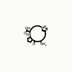 NC1CCCc2cn(nn2)CCCCC(C(=O)O)NC2CCCC2C(=O)C1